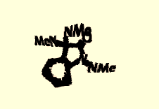 CNN1C(=O)C(NC)(NC)c2ccccc21